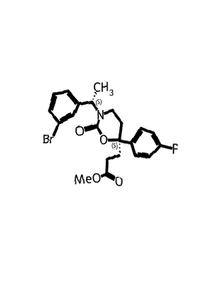 COC(=O)CC[C@@]1(c2ccc(F)cc2)CCN([C@@H](C)c2cccc(Br)c2)C(=O)O1